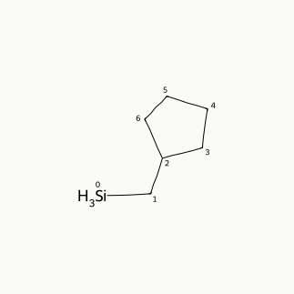 [SiH3]CC1CCCC1